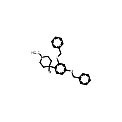 O=C(O)N1CCC(O)(c2ccc(OCc3ccccc3)cc2OCc2ccccc2)CC1